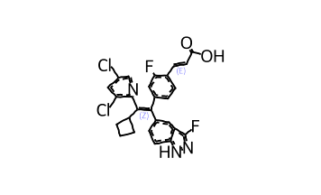 O=C(O)/C=C/c1ccc(/C(=C(\c2ncc(Cl)cc2Cl)C2CCC2)c2ccc3[nH]nc(F)c3c2)cc1F